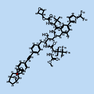 COC(=O)N[C@H](C(=O)N[C@@H](Cc1ccc(C#Cc2ccc(N3CC4CCC(C3)N4C3COC3)nc2)cc1)[C@@H](O)CN(Cc1c(F)cc(-c2ccn(C(F)F)n2)cc1F)NC(=O)[C@@H](NC(=O)OC1COC1)C(C)(C)C)C(C)(C)C(F)(F)F